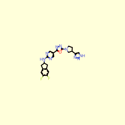 Fc1cc2c(cc1F)CC(Nc1ncc(-c3nnc(N4CCC(c5c[nH]nn5)C4)o3)cn1)C2